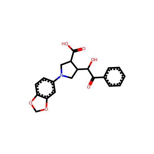 O=C(c1ccccc1)C(O)C1CN(c2ccc3c(c2)OCO3)CC1C(=O)O